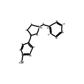 Brc1ccc(C2CCN(Cc3ccccc3)C2)cc1